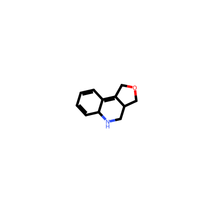 C1=CC2=C3COCC3CNC2C=C1